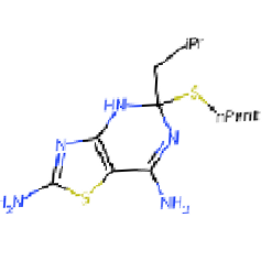 CCCCCSC1(CC(C)C)N=C(N)c2sc(N)nc2N1